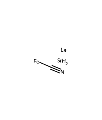 N#[C][Fe].[La].[SrH2]